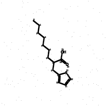 CCCCCCCC(Cc1cccs1)C(=O)O